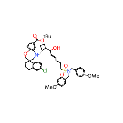 COc1ccc(CN(Cc2ccc(OC)cc2)S(=O)(=O)CCC/C=C/[C@H](O)[C@@H]2CC[C@H]2CN2C[C@@]3(CCCc4cc(Cl)ccc43)COc3ccc(C(=O)OC(C)(C)C)cc32)cc1